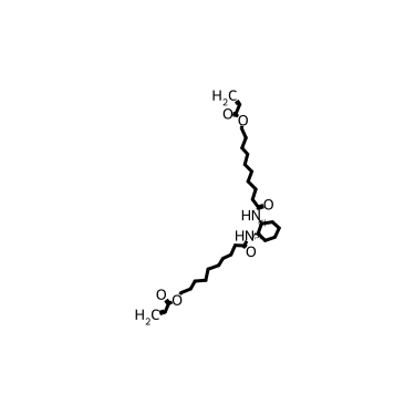 C=CC(=O)OCCCCCCCCCC(=O)N[C@H]1CCCC[C@@H]1NC(=O)CCCCCCCCCOC(=O)C=C